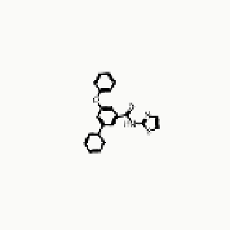 O=C(Nc1nccs1)c1cc(Oc2ccccc2)cc(C2C=CC=CC2)c1